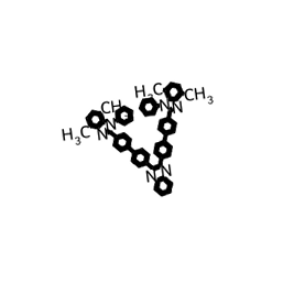 Cc1ccc(C)c2c1nc(-c1ccc(-c3ccc(-c4nc5ccccc5nc4-c4ccc(-c5ccc(-c6nc7c(C)ccc(C)c7n6-c6ccccc6)cc5)cc4)cc3)cc1)n2-c1ccccc1